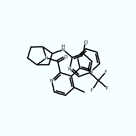 Cc1ccnc(C(=O)N2C3CCC2C(Nc2ncc(C(F)(F)F)cc2Cl)C3)c1-c1ncccn1